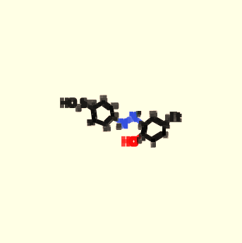 CCc1ccc(O)c(/N=N/c2ccc(S(=O)(=O)O)cc2)c1